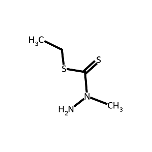 CCSC(=S)N(C)N